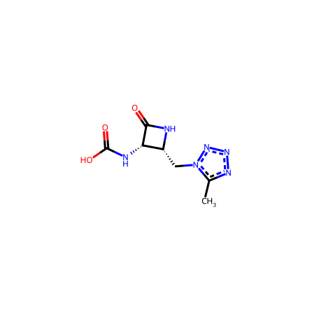 Cc1nnnn1C[C@H]1NC(=O)[C@H]1NC(=O)O